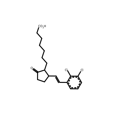 O=C(O)CCCCCCC1C(=O)CCC1C=Cc1cccc(Cl)c1Cl